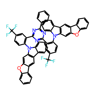 FC(F)(F)c1ccc(-n2c3ccccc3c3cc4c(cc32)oc2ccccc24)c(-c2nc(-c3ccccc3)nc(-c3cc(C(F)(F)F)ccc3-n3c4ccccc4c4cc5c(cc43)oc3ccccc35)n2)c1